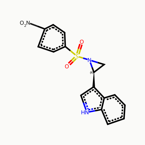 O=[N+]([O-])c1ccc(S(=O)(=O)N2C[C@H]2c2c[nH]c3ccccc23)cc1